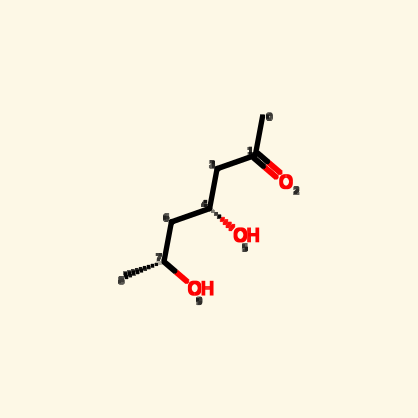 CC(=O)C[C@H](O)C[C@@H](C)O